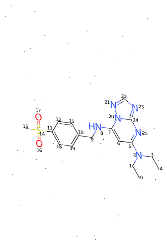 CCN(CC)c1cc(NCc2ccc(S(C)(=O)=O)cc2)n2ncnc2n1